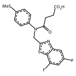 CSc1ccc(N(Cc2nc3cc(F)cc(F)c3s2)C(=O)CCC(=O)O)cc1